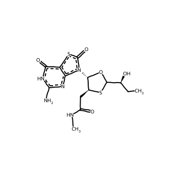 CC[C@H](O)C1O[C@@H](n2c(=O)sc3c(=O)[nH]c(N)nc32)[C@H](CC(=O)NC)S1